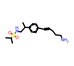 CC(CNS(=O)(=O)C(C)C)c1ccc(C#CCCCN)cc1